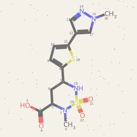 CN1C(C(=O)O)CC(c2ccc(-c3cnn(C)c3)s2)NS1(=O)=O